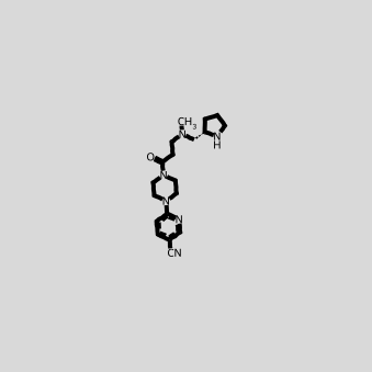 CN(CCC(=O)N1CCN(c2ccc(C#N)cn2)CC1)C[C@@H]1CCCN1